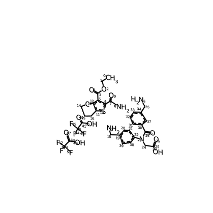 CCOC(=O)c1c(C(N)=O)sc2c1CCCC2.NCc1ccc(N(CC(=O)O)C(=O)c2cccc(CN)c2)cc1.O=C(O)C(F)(F)F.O=C(O)C(F)(F)F